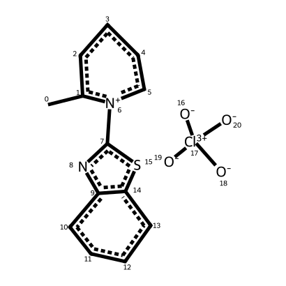 Cc1cccc[n+]1-c1nc2ccccc2s1.[O-][Cl+3]([O-])([O-])[O-]